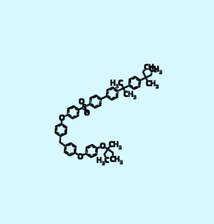 CCC(C)(CC)Oc1ccc(Oc2ccc(Cc3ccc(Oc4ccc(S(=O)(=O)c5ccc(-c6ccc(C(C)(C)c7ccc(C(C)(CC)CC)cc7)cc6)cc5)cc4)cc3)cc2)cc1